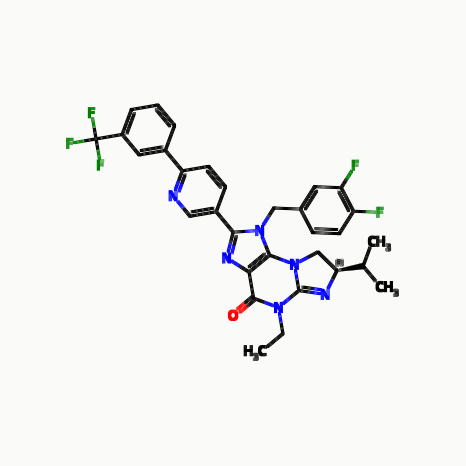 CCN1C(=O)c2nc(-c3ccc(-c4cccc(C(F)(F)F)c4)nc3)n(Cc3ccc(F)c(F)c3)c2N2C[C@@H](C(C)C)N=C12